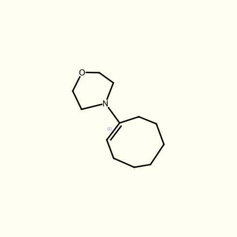 C1=C(/N2CCOCC2)CCCCCC/1